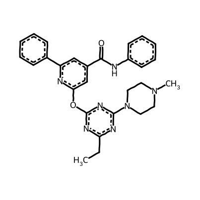 CCc1nc(Oc2cc(C(=O)Nc3ccccc3)cc(-c3ccccc3)n2)nc(N2CCN(C)CC2)n1